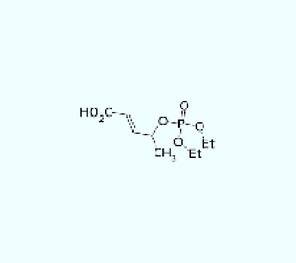 CCOP(=O)(OCC)OC(C)/C=C/C(=O)O